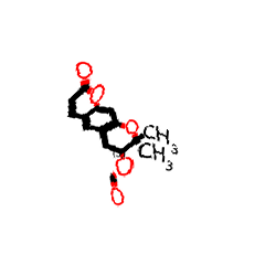 CC1(C)Oc2cc3oc(=O)ccc3cc2C[C@@H]1OC=O